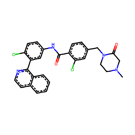 CN1CCN(Cc2ccc(C(=O)Nc3ccc(Cl)c(-c4nccc5ccccc45)c3)c(Cl)c2)C(=O)C1